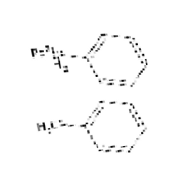 [CH2-]c1ccccc1.[CH2-]c1ccccc1.[Pd+2]